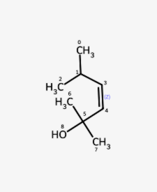 CC(C)/C=C\C(C)(C)O